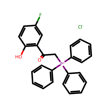 O=C(C[P+](c1ccccc1)(c1ccccc1)c1ccccc1)c1cc(F)ccc1O.[Cl-]